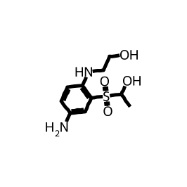 CC(O)S(=O)(=O)c1cc(N)ccc1NCCO